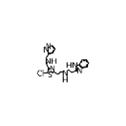 Clc1sc(CCNCCc2nc3ccccc3[nH]2)nc1CNCc1cccnn1